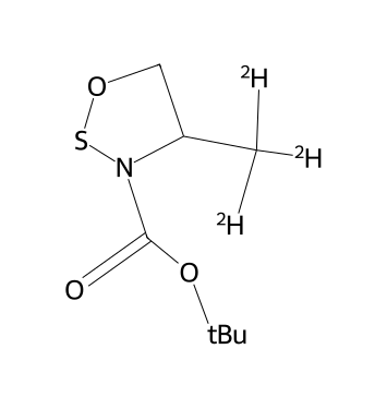 [2H]C([2H])([2H])C1COSN1C(=O)OC(C)(C)C